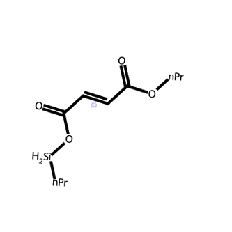 CCCOC(=O)/C=C/C(=O)O[SiH2]CCC